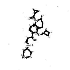 CC1CCc2c(ccc(C(=N)/C=C\NC3CCNCC3)c2OC2CCC2)N1C(=O)C1CC1